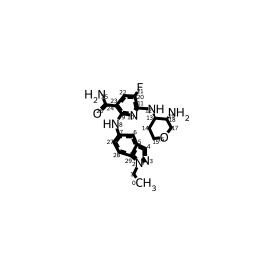 CCn1ncc2cc(Nc3nc(N[C@@H]4CCOC[C@@H]4N)c(F)cc3C(N)=O)ccc21